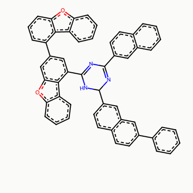 c1ccc(-c2ccc3ccc(C4N=C(c5ccc6ccccc6c5)N=C(c5cc(-c6cccc7oc8ccccc8c67)cc6oc7ccccc7c56)N4)cc3c2)cc1